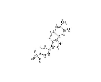 CC1=Nc2ccc3c(ncn3-c3ccc(C(F)(F)F)nn3)c2CC1=O